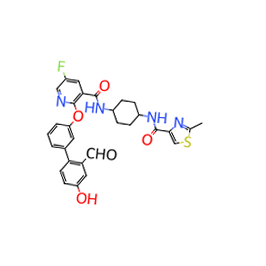 Cc1nc(C(=O)NC2CCC(NC(=O)c3cc(F)cnc3Oc3cccc(-c4ccc(O)cc4C=O)c3)CC2)cs1